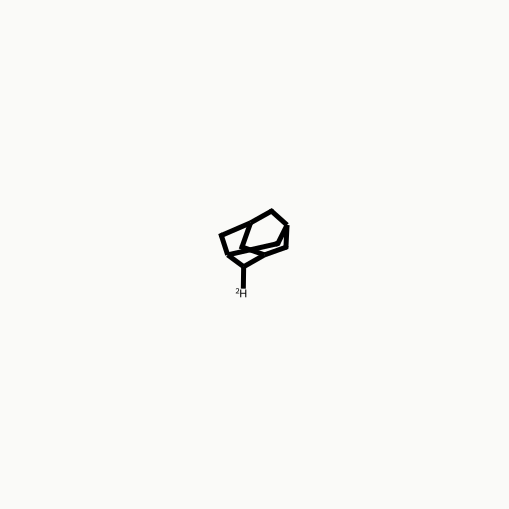 [2H]C1C2CC3CC(C2)CC1C3